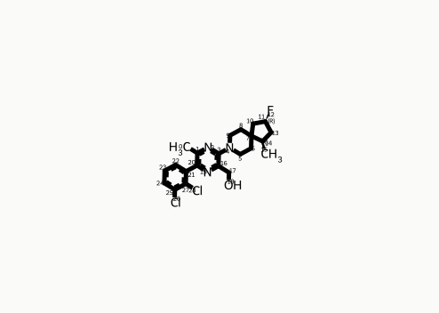 Cc1nc(N2CCC3(CC2)C[C@H](F)C[C@H]3C)c(CO)nc1-c1cccc(Cl)c1Cl